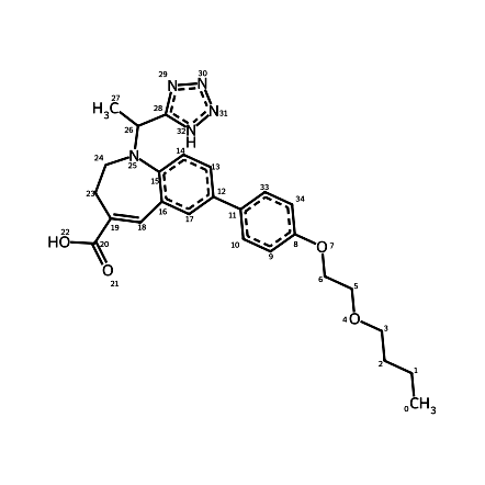 CCCCOCCOc1ccc(-c2ccc3c(c2)C=C(C(=O)O)CCN3C(C)c2nnn[nH]2)cc1